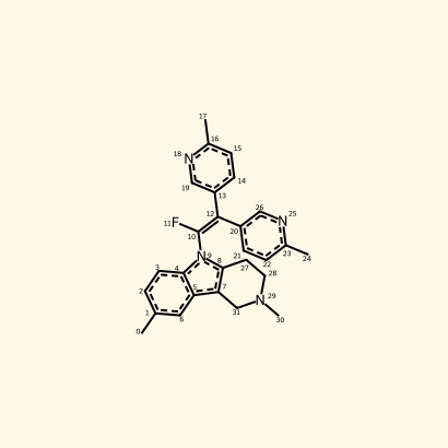 Cc1ccc2c(c1)c1c(n2C(F)=C(c2ccc(C)nc2)c2ccc(C)nc2)CCN(C)C1